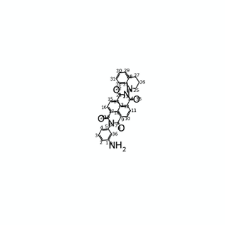 Nc1cccc(N2C(=O)c3ccc4c5c(ccc(c35)C2=O)C(=O)N(N2CCCc3ccccc32)C4=O)c1